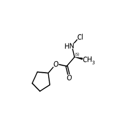 C[C@H](NCl)C(=O)OC1CCCC1